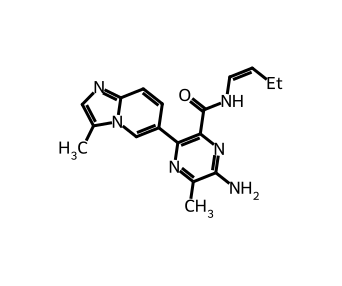 CC/C=C\NC(=O)c1nc(N)c(C)nc1-c1ccc2ncc(C)n2c1